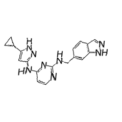 c1cc(Nc2cc(C3CC3)[nH]n2)nc(NCc2ccc3cn[nH]c3c2)n1